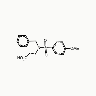 COc1ccc(S(=O)(=O)N(CCC(=O)O)Cc2ccccc2)cc1